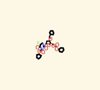 O=C(OC[C@H]1O[C@@H](n2cc(F)c(=O)n(C(=O)Oc3ccccc3)c2=O)C[C@@H]1OCc1ccccc1)Oc1ccccc1